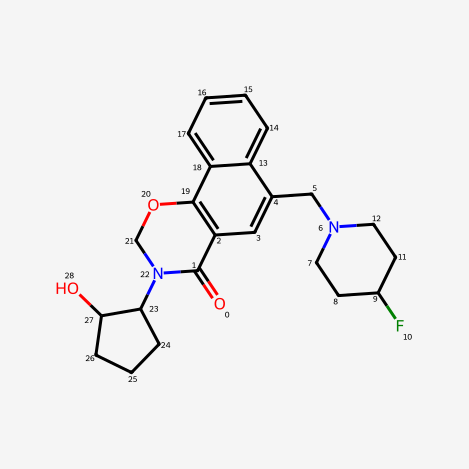 O=C1c2cc(CN3CCC(F)CC3)c3ccccc3c2OCN1C1CCCC1O